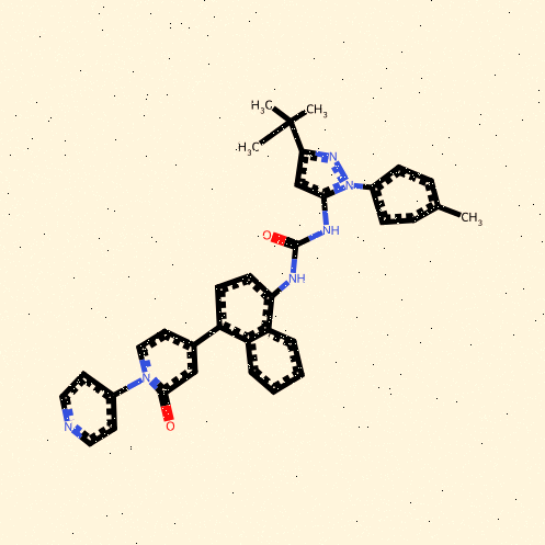 Cc1ccc(-n2nc(C(C)(C)C)cc2NC(=O)Nc2ccc(-c3ccn(-c4ccncc4)c(=O)c3)c3ccccc23)cc1